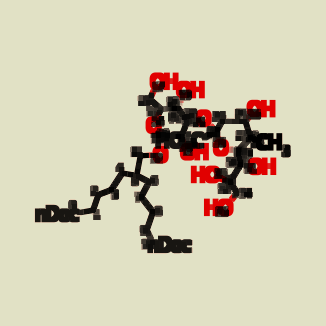 CCCCCCCCCCCCCCC(CCCCCCCCCCCCCC)CO[C@@H]1OC(CO)[C@H](O)[C@H](O[C@]2(C(=O)O)CC(O)[C@@H](C)[C@H]([C@H](O)[C@H](O)CO)O2)C1O